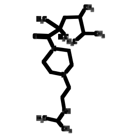 CC(C)NCCN1CCN(C(=O)C(C)(C)CC(C)C(C)C)CC1